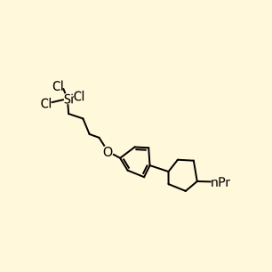 CCCC1CCC(c2ccc(OCCCC[Si](Cl)(Cl)Cl)cc2)CC1